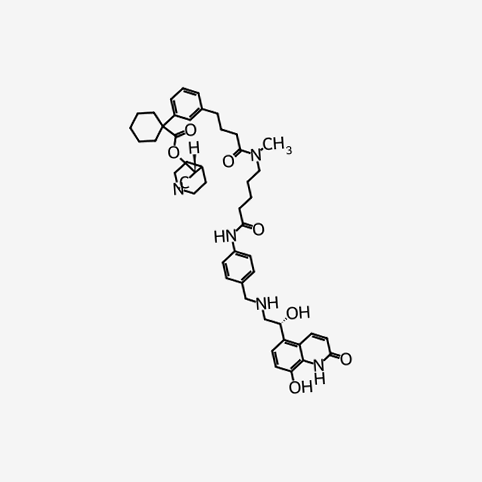 CN(CCCCC(=O)Nc1ccc(CNC[C@H](O)c2ccc(O)c3[nH]c(=O)ccc23)cc1)C(=O)CCCc1cccc(C2(C(=O)O[C@H]3CN4CCC3CC4)CCCCC2)c1